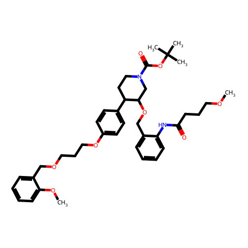 COCCCC(=O)Nc1ccccc1COC1CN(C(=O)OC(C)(C)C)CCC1c1ccc(OCCCOCc2ccccc2OC)cc1